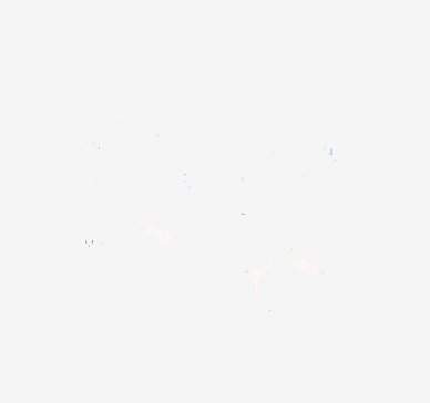 COC(=O)c1cnc(Cl)cc1NCC(CCN)CCC(=O)OC(C)(C)C